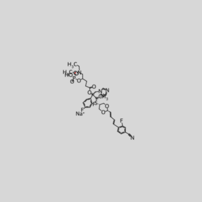 CCN(CC)CC(CCC(=O)O[C@@](Cn1cncn1)(c1ccc(F)cc1F)[C@@H](C)S[C@H]1CO[C@H](C=CC=Cc2ccc(C#N)cc2F)OC1)OP(=O)([O-])O.[Na+]